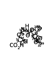 O=C(O)c1ccc(Oc2cnc(NC(=O)C(OC3CCOCC3)c3ccc(S(=O)(=O)C4CC4)cc3)s2)cc1Cl